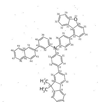 CC1(C)c2ccccc2-c2ccc(-c3ccc(N(c4ccc(-c5cccc6oc7ccccc7c56)cc4)c4cccc(-c5ccc6ccccc6c5)c4)cc3)cc21